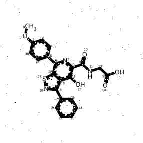 COc1ccc(-c2nc(C(=O)NCC(=O)O)c(O)c3c(-c4ccccc4)nsc23)cc1